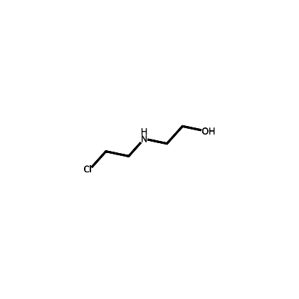 OCCNCCCl